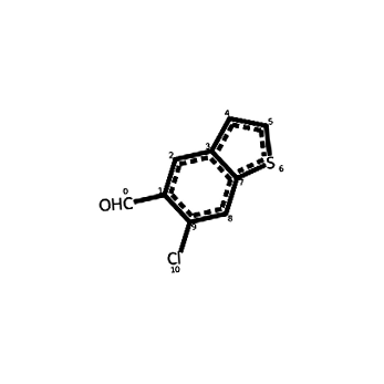 O=Cc1cc2ccsc2cc1Cl